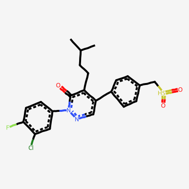 CC(C)CCc1c(-c2ccc(C[SH](=O)=O)cc2)cnn(-c2ccc(F)c(Cl)c2)c1=O